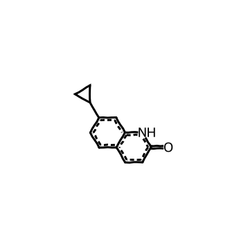 O=c1ccc2ccc(C3CC3)cc2[nH]1